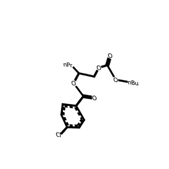 CCCCOC(=O)OCC(CCC)OC(=O)c1ccc(Cl)cc1